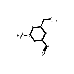 CC[C@H]1CC(C=O)C[C@@H](C)C1